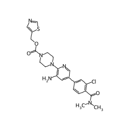 CN(C)C(=O)c1ccc(-c2cnc(N3CCN(C(=O)OCc4cncs4)CC3)c(N)c2)cc1Cl